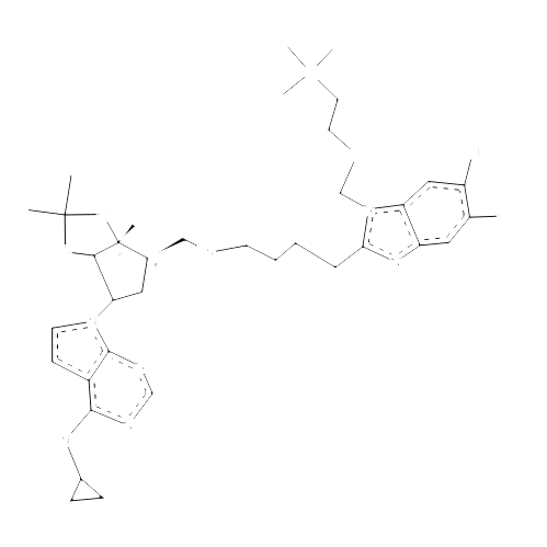 CC1(C)OC2C(n3ccc4c(NC5CC5)ncnc43)C[C@H](CNCCCCc3nc4cc(C(F)(F)F)c(Cl)cc4n3COCC[Si](C)(C)C)[C@H]2O1